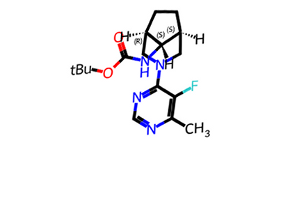 Cc1ncnc(N2C[C@H]3CC[C@@H](C2)[C@@H]3NC(=O)OC(C)(C)C)c1F